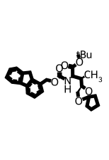 C[C@@H]([C@@H]1COC2(CCCC2)O1)[C@H](NC(=O)OCc1cccc2c1Cc1ccccc1-2)C(=O)OC(C)(C)C